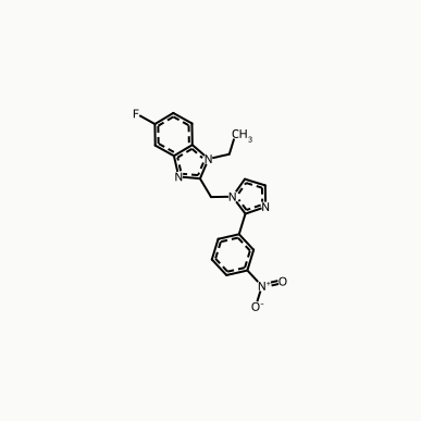 CCn1c(Cn2ccnc2-c2cccc([N+](=O)[O-])c2)nc2cc(F)ccc21